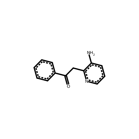 Nc1cccnc1CC(=O)c1ccccc1